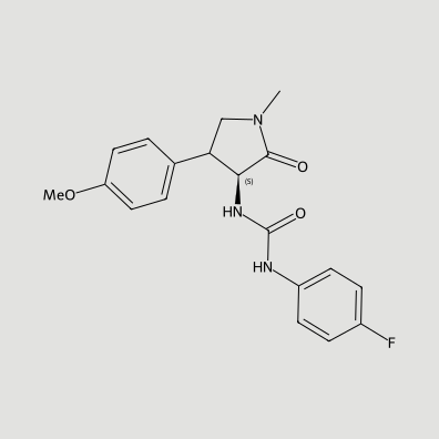 COc1ccc(C2CN(C)C(=O)[C@H]2NC(=O)Nc2ccc(F)cc2)cc1